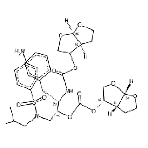 CC(C)CN(C[C@@H](OC(=O)O[C@@H]1CO[C@@H]2OCC[C@@H]21)[C@H](Cc1ccccc1)NC(=O)OC1CO[C@H]2OCC[C@@H]12)S(=O)(=O)c1ccc(N)cc1